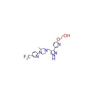 CC1CN(Cc2c[nH]nc2-c2ccc(OCCO)nc2)CCN1c1ccc(C(F)(F)F)cn1